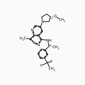 CO[C@H]1CCN(c2cnc3c(C)nnc(N[C@H](C)c4cccc(C(C)(F)F)c4)c3c2)C1